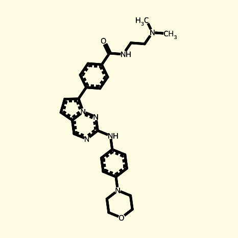 CN(C)CCNC(=O)c1ccc(-c2ccc3cnc(Nc4ccc(N5CCOCC5)cc4)nn23)cc1